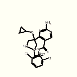 Nc1ncc(C(=O)Nc2c(Cl)cccc2Cl)c(C2(OC3CC3)CNN(CCO)C2)n1